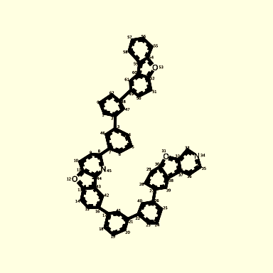 c1cc(-c2cccc(-c3ccc4oc5ccc(-c6cccc(-c7cccc(-c8ccc9oc%10cnccc%10c9c8)c7)c6)cc5c4n3)c2)cc(-c2ccc3oc4ccccc4c3c2)c1